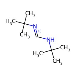 CC(C)(C)/N=C/NC(C)(C)C